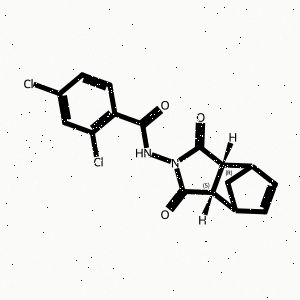 O=C(NN1C(=O)[C@@H]2C3C=CC(C3)[C@@H]2C1=O)c1ccc(Cl)cc1Cl